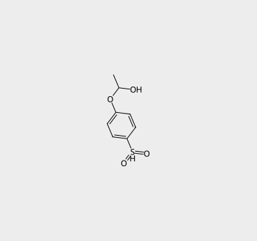 CC(O)Oc1ccc([SH](=O)=O)cc1